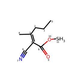 CCCC(C)=C(C#N)C(=O)O[SiH3]